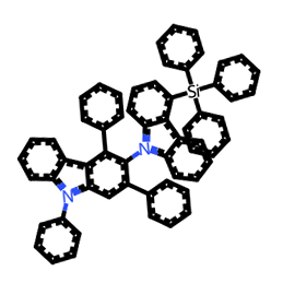 c1ccc(-c2cc3c(c(-c4ccccc4)c2-n2c4ccccc4c4c([Si](c5ccccc5)(c5ccccc5)c5ccccc5)cccc42)c2ccccc2n3-c2ccccc2)cc1